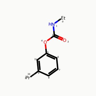 CCNC(=O)Oc1cccc(C(C)C)c1